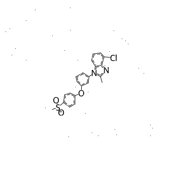 Cc1nc2c(Cl)cccc2n1-c1cccc(Oc2ccc(S(C)(=O)=O)cc2)c1